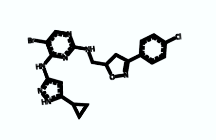 Clc1ccc(C2=NOC(CNc3ncc(Br)c(Nc4cc(C5CC5)[nH]n4)n3)C2)cc1